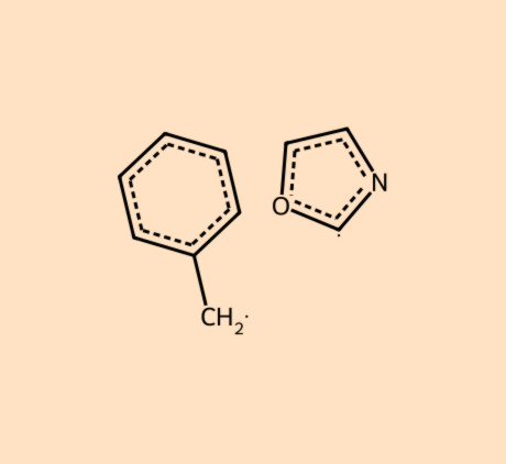 [CH2]c1ccccc1.[c]1ncco1